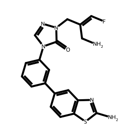 NC/C(=C\F)Cn1ncn(-c2cccc(-c3ccc4sc(N)nc4c3)c2)c1=O